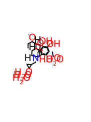 CC(=O)O.CO[C@@]12CC[C@@]3(C[C@@H]1[C@](C)(O)C(C)(C)C)[C@H]1Cc4ccc(O)c5c4[C@@]3(CCN1CC1CC1)[C@H]2O5.O.O.O.O